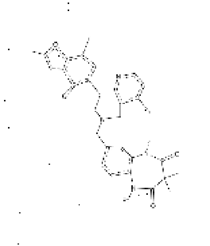 CCN1C(=O)C(C)(C)C(=O)N(C)c2cc(CN(CCn3cc(C)c4oc(C)cc4c3=O)Cc3cnccc3C)ccc21